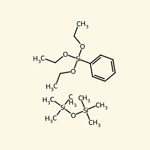 CCO[Si](OCC)(OCC)c1ccccc1.C[Si](C)(C)O[Si](C)(C)C